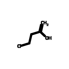 C=C(O)CCCl